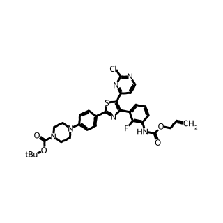 C=CCOC(=O)Nc1cccc(-c2nc(-c3ccc(N4CCN(C(=O)OC(C)(C)C)CC4)cc3)sc2-c2ccnc(Cl)n2)c1F